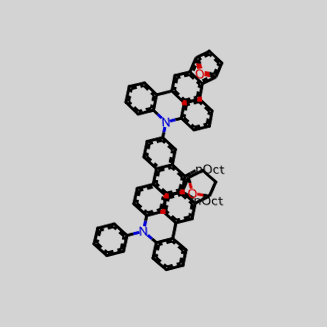 CCCCCCCCc1c(CCCCCCCC)c2cc(N(c3ccccc3)c3ccccc3-c3ccc4c5ccc(o5)c4c3)ccc2c2ccc(N(c3ccccc3)c3ccccc3-c3ccc4c(c3)C3CCC4O3)cc12